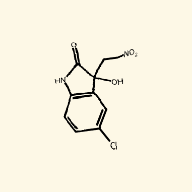 O=C1Nc2ccc(Cl)cc2C1(O)C[N+](=O)[O-]